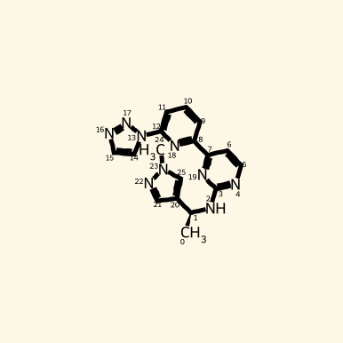 C[C@H](Nc1nccc(-c2cccc(-n3ccnn3)n2)n1)c1cnn(C)c1